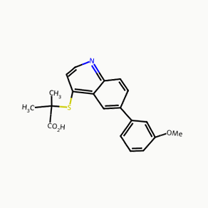 COc1cccc(-c2ccc3nccc(SC(C)(C)C(=O)O)c3c2)c1